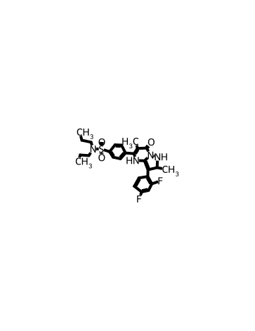 CCCN(CCC)S(=O)(=O)c1ccc(C2=C(C)C(=O)N3NC(C)C(c4ccc(F)cc4F)=C3N2)cc1